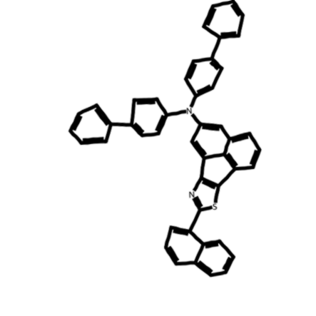 c1ccc(-c2ccc(N(c3ccc(-c4ccccc4)cc3)c3cc4c5c(cccc5c3)-c3sc(-c5cccc6ccccc56)nc3-4)cc2)cc1